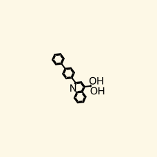 OC(O)c1cc(-c2ccc(-c3ccccc3)cc2)nc2ccccc12